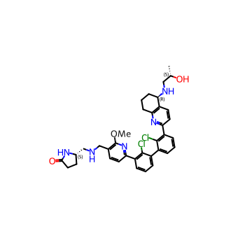 COc1nc(-c2cccc(-c3cccc(-c4ccc5c(n4)CCC[C@H]5NC[C@H](C)O)c3Cl)c2Cl)ccc1CNC[C@@H]1CCC(=O)N1